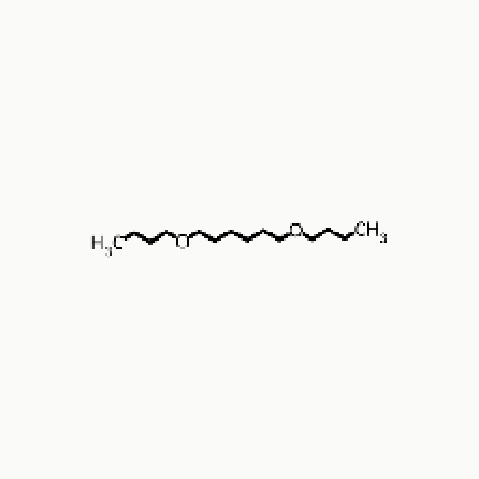 CCCCOCCCCCCOCCCC